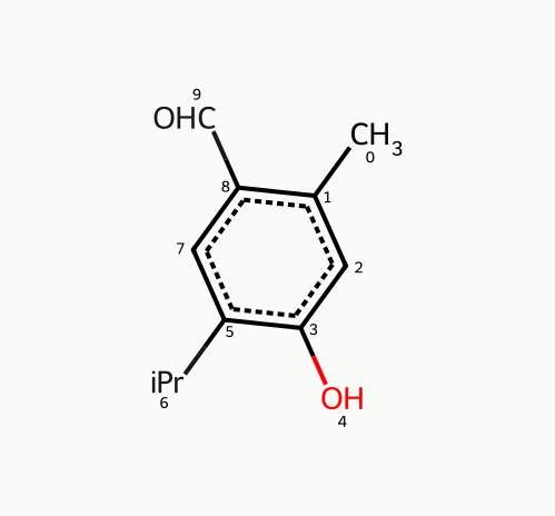 Cc1cc(O)c(C(C)C)cc1C=O